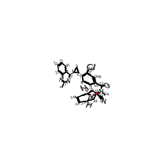 Cc1nc([C@H]2C[C@@H]2c2ccc(C(=O)N(C)C3C[C@H]4CC[C@@H](C3)N4CC#N)cc2Cl)c2ccccc2n1